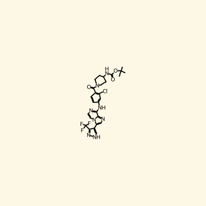 CC(C)(C)OC(=O)NC1CCN(C(=O)c2ccc(Nc3nccn4c(-c5c[nH]nc5C(F)(F)F)cnc34)cc2Cl)CC1